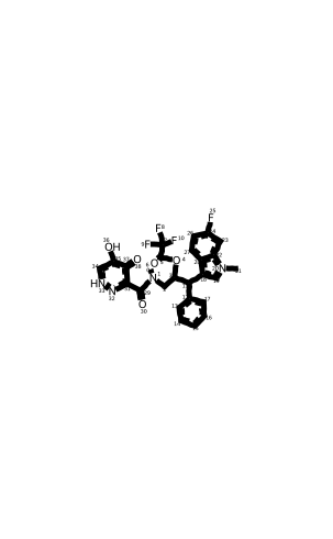 CN(CC(OC(=O)C(F)(F)F)C(c1ccccc1)c1cn(C)c2cc(F)ccc12)C(=O)c1n[nH]cc(O)c1=O